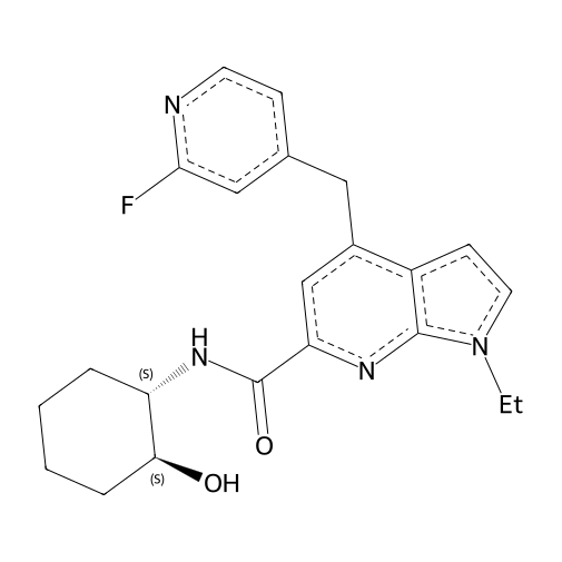 CCn1ccc2c(Cc3ccnc(F)c3)cc(C(=O)N[C@H]3CCCC[C@@H]3O)nc21